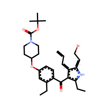 C=C/C=c1/c(C(=O)c2ccc(OC3CCN(C(=O)OC(C)(C)C)CC3)cc2CC)c(CC)[nH]/c1=C/CBr